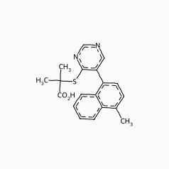 Cc1ccc(-c2cncnc2SC(C)(C)C(=O)O)c2ccccc12